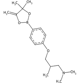 C=C1OB(c2ccc(OCC(C)CN(C)C)cc2)OC1(C)C